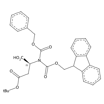 CC(C)(C)OC(=O)C[C@@H](C(=O)O)N(C(=O)OCc1ccccc1)C(=O)OCC1c2ccccc2-c2ccccc21